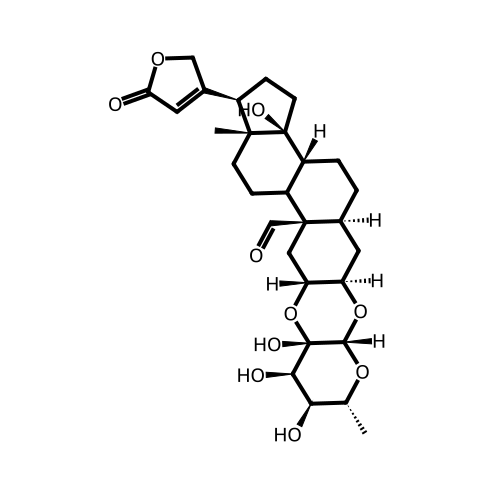 C[C@H]1O[C@H]2O[C@@H]3C[C@@H]4CC[C@@H]5C(CC[C@]6(C)[C@@H](C7=CC(=O)OC7)CC[C@]56O)[C@@]4(C=O)C[C@H]3O[C@@]2(O)[C@H](O)[C@@H]1O